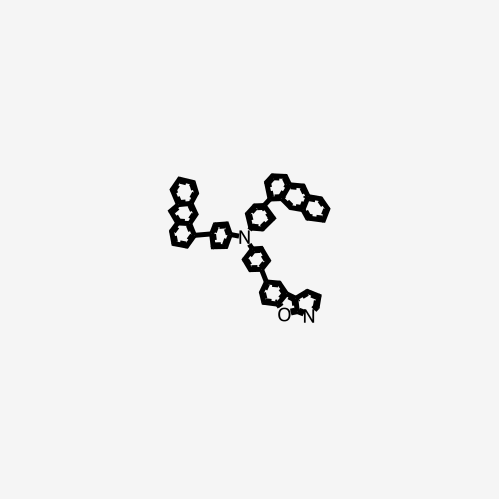 c1ccc2cc3c(-c4ccc(N(c5ccc(-c6ccc7oc8ncccc8c7c6)cc5)c5ccc(-c6cccc7cc8ccccc8cc67)cc5)cc4)cccc3cc2c1